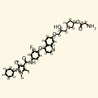 Cc1c(C(=O)Nc2ccc(Oc3ccnc4cc(OCC(O)CN5CCC(OC(=O)CN)C5)ccc34)c(F)c2)c(=O)n(-c2ccccc2)n1C